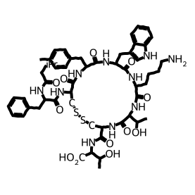 Cc1ccc(CC2NC(=O)C(NC(=O)C(Cc3ccccc3)NC(=O)CC(C)C)CSSCC(C(=O)NC(C(=O)O)C(C)O)NC(=O)C(C(C)O)NC(=O)C(CCCCN)NC(=O)C(Cc3c[nH]c4ccccc34)NC2=O)cc1